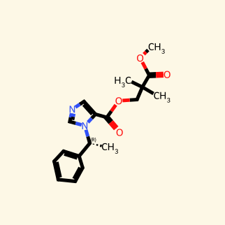 COC(=O)C(C)(C)COC(=O)c1cncn1[C@H](C)c1ccccc1